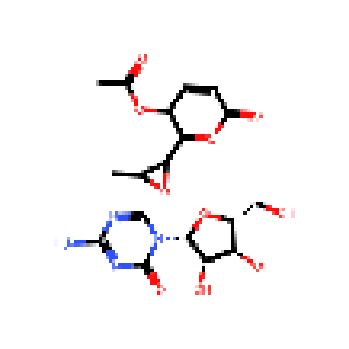 CC(=O)OC1C=CC(=O)OC1C1OC1C.Nc1ncn([C@@H]2O[C@H](CO)[C@@H](O)[C@H]2O)c(=O)n1